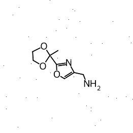 CC1(c2nc(CN)co2)OCCO1